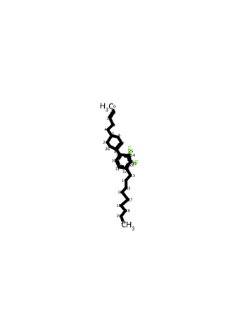 C/C=C/CCC1CC=C(c2ccc(CCCCCCCCC)c(F)c2F)CC1